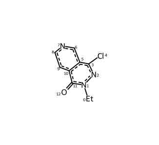 CCn1nc(Cl)c2cnccc2c1=O